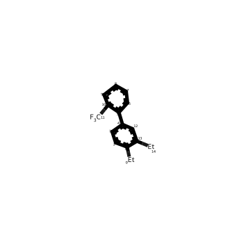 CCc1ccc(-c2[c]cccc2C(F)(F)F)cc1CC